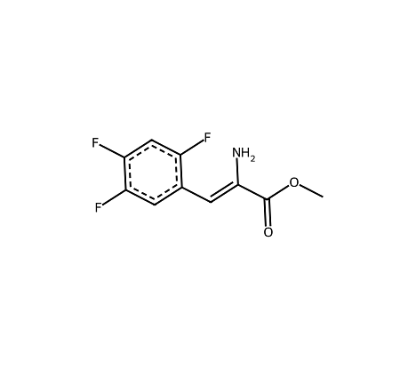 COC(=O)/C(N)=C/c1cc(F)c(F)cc1F